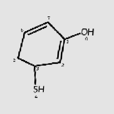 OC1=CC(S)CC=C1